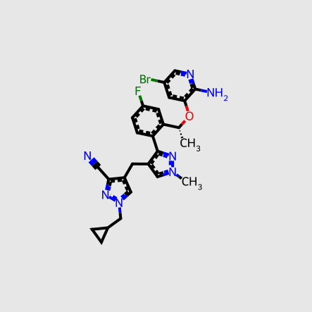 C[C@@H](Oc1cc(Br)cnc1N)c1cc(F)ccc1-c1nn(C)cc1Cc1cn(CC2CC2)nc1C#N